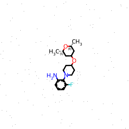 C[C@@H]1CC(OC2CCN(c3c(N)cccc3F)CC2)C[C@H](C)O1